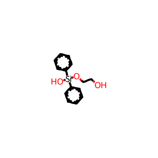 OCCO[Si](O)(c1ccccc1)c1ccccc1